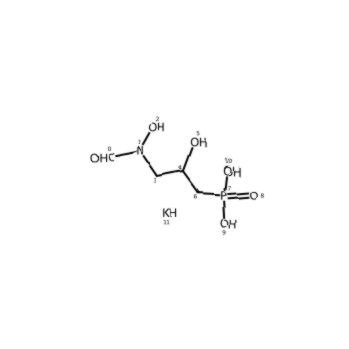 O=CN(O)CC(O)CP(=O)(O)O.[KH]